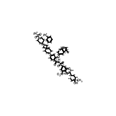 CC(C)c1ccccc1[C@H]1CN(S(=O)(=O)C(C)C)CC[C@H]1N1CC2(CCN(c3ccc(C(=O)NS(=O)(=O)c4cc5c(c([N+](=O)[O-])c4)N[C@@H]([C@H]4CC[C@](C)(O)CC4)CO5)c(Oc4cnc5[nH]cc(F)c5c4)c3)CC2)C1